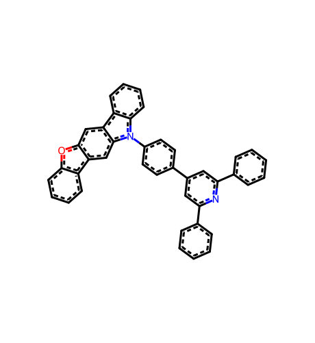 c1ccc(-c2cc(-c3ccc(-n4c5ccccc5c5cc6oc7ccccc7c6cc54)cc3)cc(-c3ccccc3)n2)cc1